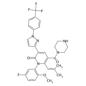 COc1ccc(F)cc1-n1c(C=C(C)C)c(C(=O)N2CCNCC2)cc(-c2ccn(-c3ccc(C(F)(F)F)cc3)n2)c1=O